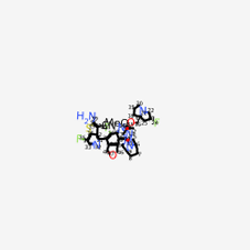 CO[C@H](C)CN1CC2CCC(C1)N2c1nc(OC[C@@]23CCCN2C[C@H](F)C3)nc2c(F)c(-c3ncc(F)c4sc(N)c(C#N)c34)c3c(c12)COC3